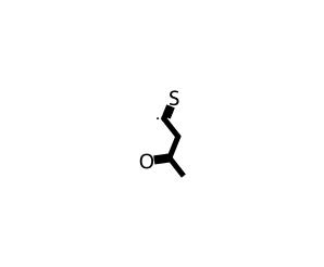 CC(=O)C[C]=S